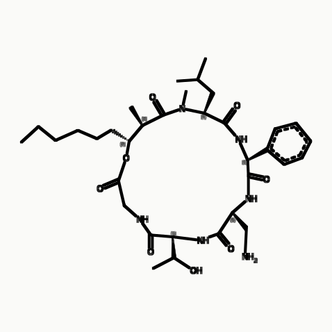 CCCCCC[C@H]1OC(=O)CNC(=O)[C@H](C(C)O)NC(=O)[C@H](CN)NC(=O)[C@H](c2ccccc2)NC(=O)[C@H](CC(C)C)N(C)C(=O)[C@@H]1C